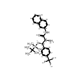 CC(C)(C)[Si](C)(C)O[C@H](c1ccc(C(F)(F)F)cc1)[C@H](N)C(=O)Nc1ccc2ncccc2c1